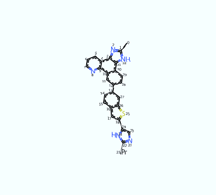 Cc1nc2c3cccnc3c3cc(-c4ccc5cc(-c6cnc(C(C)C)[nH]6)sc5c4)ccc3c2[nH]1